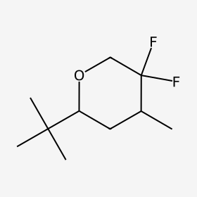 CC1CC(C(C)(C)C)OCC1(F)F